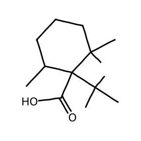 CC1CCCC(C)(C)C1(C(=O)O)C(C)(C)C